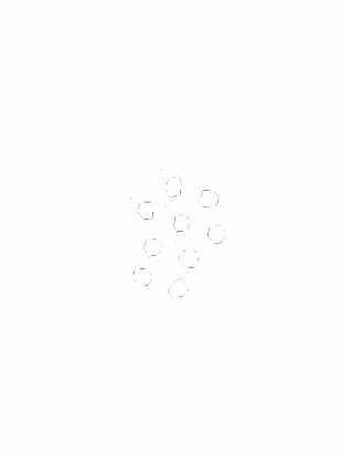 CC1(C)CC(C)(C)c2cc(N3c4cc5c(cc4B4c6ccc(-c7ccccc7)cc6N(c6cccc(-c7ccccc7)c6)c6cc(N(c7ccccc7)c7ccccc7)cc3c64)C(C)(C)CC5(C)C)ccc21